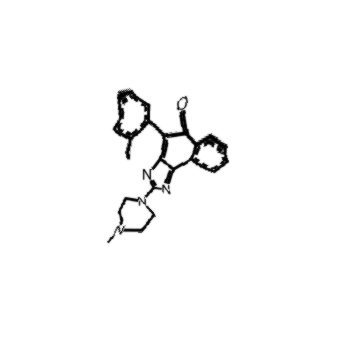 Cc1ccccc1C1=C2N=C(N3CCN(C)CC3)N=C2c2ccccc2C1=O